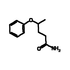 CC(CCC(N)=O)Oc1ccccc1